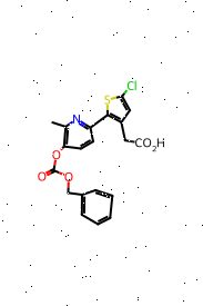 Cc1nc(-c2sc(Cl)cc2CC(=O)O)ccc1OC(=O)OCc1ccccc1